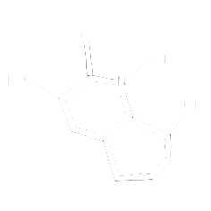 Cc1cc2cccc(O)c2n(C)c1=O